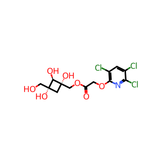 O=C(COc1nc(Cl)c(Cl)cc1Cl)OC[C@@]1(O)C[C@@](O)(CO)[C@H]1O